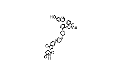 COc1cc([C@H]2COc3cc(O)ccc3[C@H]2c2ccc(N3CCC(CN4CCN(c5ccc6c(c5)CN([C@H]5CCC(=O)NC5=O)C6=O)CC4)CC3)c(F)c2)ccc1F